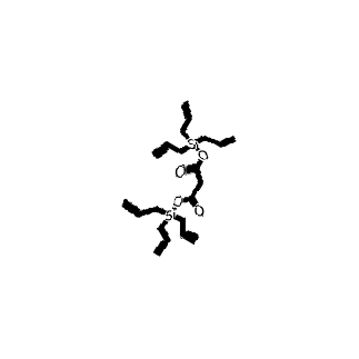 C=CC[Si](CC=C)(CC=C)OC(=O)CC(=O)O[Si](CC=C)(CC=C)CC=C